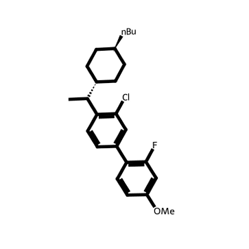 CCCC[C@H]1CC[C@H](C(C)c2ccc(-c3ccc(OC)cc3F)cc2Cl)CC1